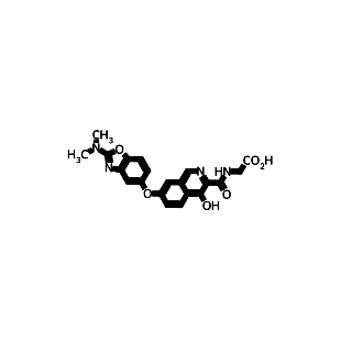 CN(C)c1nc2cc(Oc3ccc4c(O)c(C(=O)NCC(=O)O)ncc4c3)ccc2o1